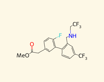 COC(=O)Cc1ccc(F)c(-c2ccc(C(F)(F)F)cc2CNCC(F)(F)F)c1